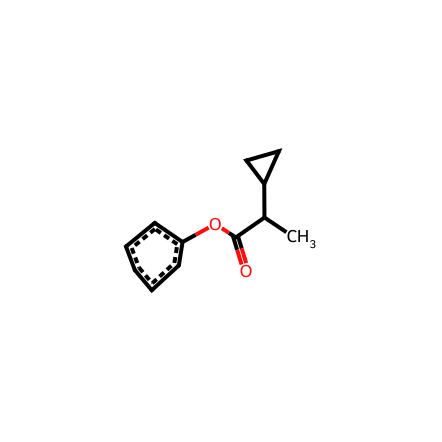 CC(C(=O)Oc1ccccc1)C1CC1